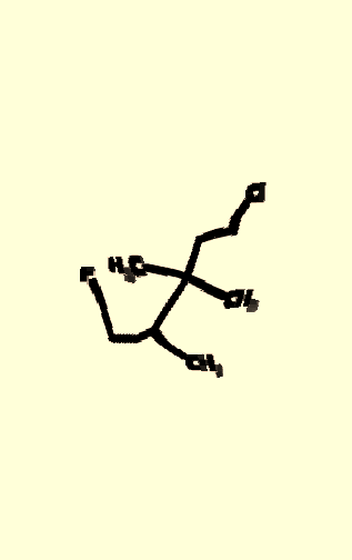 CC(CF)C(C)(C)CCCl